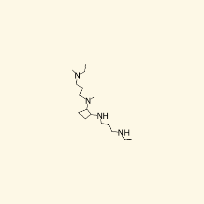 CCNCCCNC1CCC1N(C)CCCN(C)CC